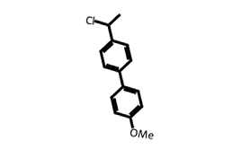 COc1ccc(-c2ccc(C(C)Cl)cc2)cc1